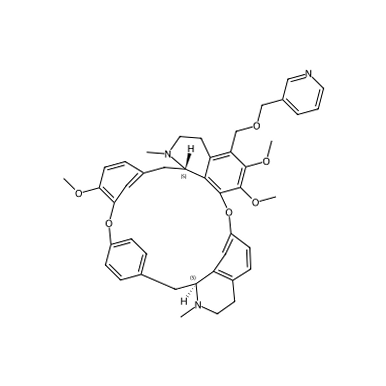 COc1ccc2cc1Oc1ccc(cc1)C[C@H]1c3cc(ccc3CCN1C)Oc1c(OC)c(OC)c(COCc3cccnc3)c3c1[C@H](C2)N(C)CC3